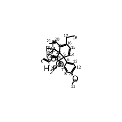 C=COC(=O)C1(c2ccc(OC)cc2)C=CC(CC)=C(CC)C1(C(=O)OP)C(F)(F)F